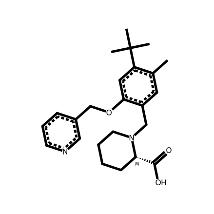 Cc1cc(CN2CCCC[C@H]2C(=O)O)c(OCc2cccnc2)cc1C(C)(C)C